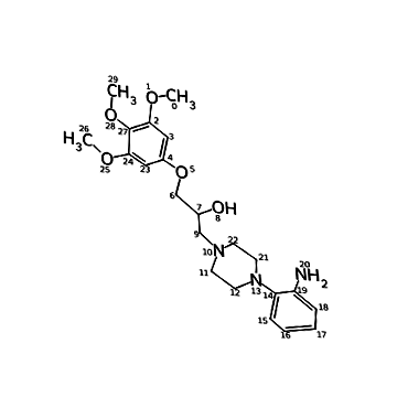 COc1cc(OCC(O)CN2CCN(c3ccccc3N)CC2)cc(OC)c1OC